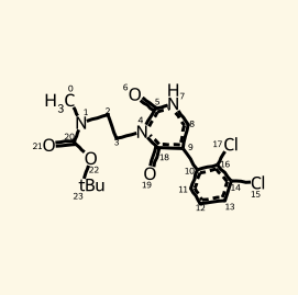 CN(CCn1c(=O)[nH]cc(-c2cccc(Cl)c2Cl)c1=O)C(=O)OC(C)(C)C